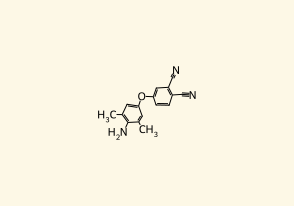 Cc1cc(Oc2ccc(C#N)c(C#N)c2)cc(C)c1N